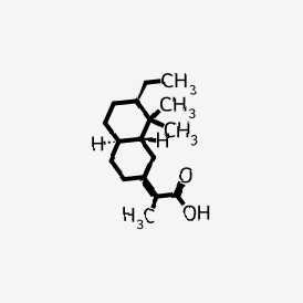 CC[C@@H]1CC[C@@H]2CCC(=C(C)C(=O)O)C[C@H]2C1(C)C